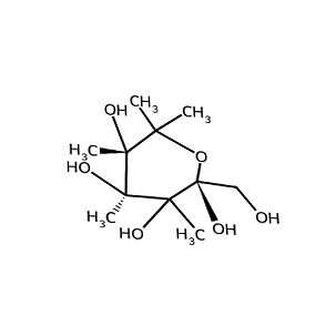 CC1(C)O[C@](O)(CO)C(C)(O)[C@@](C)(O)[C@]1(C)O